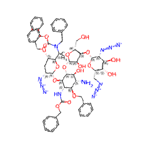 C[C@@H]([C@H]1O[C@H](O[C@@H]2[C@@H](NC(=O)OCc3ccccc3)[C@H](OCc3ccccc3)[C@@H](N)[C@H](O)[C@H]2O[C@@H]2O[C@H](CO)[C@@H](O[C@H]3O[C@@H](CN=[N+]=[N-])[C@@H](O)[C@H](O)[C@H]3N=[N+]=[N-])[C@H]2O)[C@H](N=[N+]=[N-])C[C@@H]1OCc1ccccc1)N(Cc1ccccc1)C(=O)OCc1ccccc1